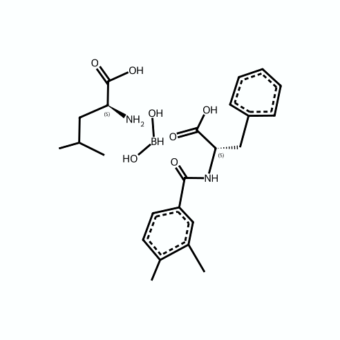 CC(C)C[C@H](N)C(=O)O.Cc1ccc(C(=O)N[C@@H](Cc2ccccc2)C(=O)O)cc1C.OBO